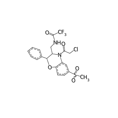 CS(=O)(=O)c1ccc2c(c1)N(C(=O)CCl)C(CNC(=O)C(F)(F)F)C(c1ccccc1)O2